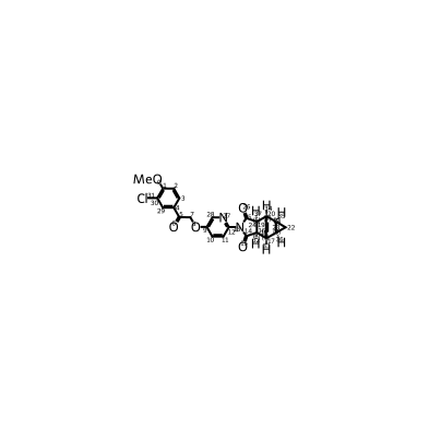 COc1ccc(C(=O)COc2ccc(N3C(=O)[C@@H]4[C@@H]5C=C[C@@H]([C@H]6C[C@@H]56)[C@@H]4C3=O)nc2)cc1Cl